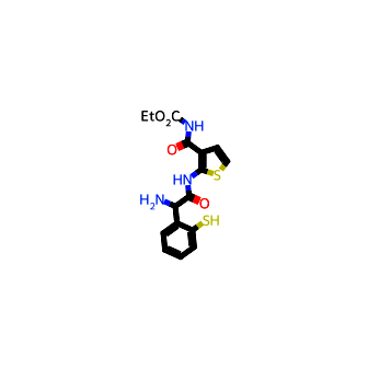 CCOC(=O)NC(=O)c1ccsc1NC(=O)C(N)c1ccccc1S